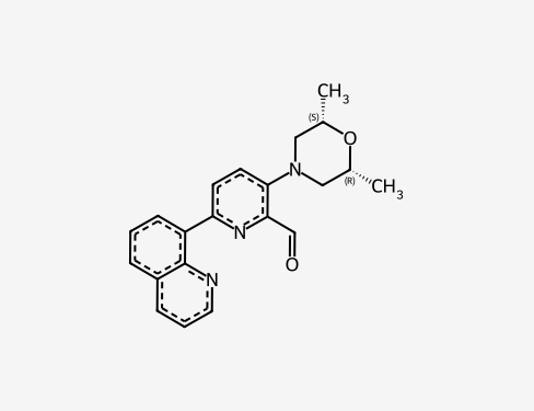 C[C@@H]1CN(c2ccc(-c3cccc4cccnc34)nc2C=O)C[C@H](C)O1